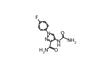 NC(=O)Nc1cn(-c2ccc(F)cc2)nc1C(N)=O